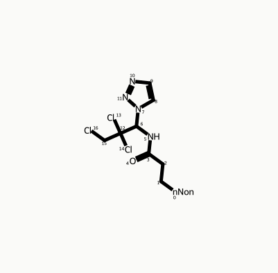 CCCCCCCCCCCC(=O)NC(n1ccnn1)C(Cl)(Cl)CCl